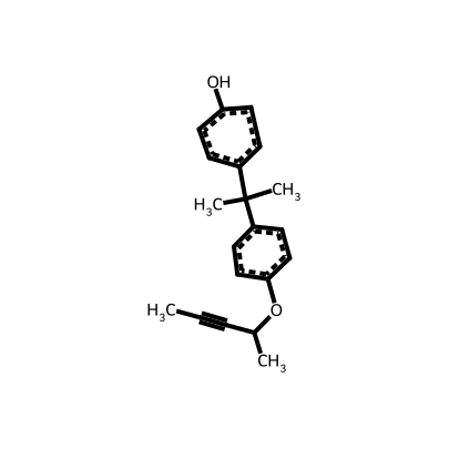 CC#CC(C)Oc1ccc(C(C)(C)c2ccc(O)cc2)cc1